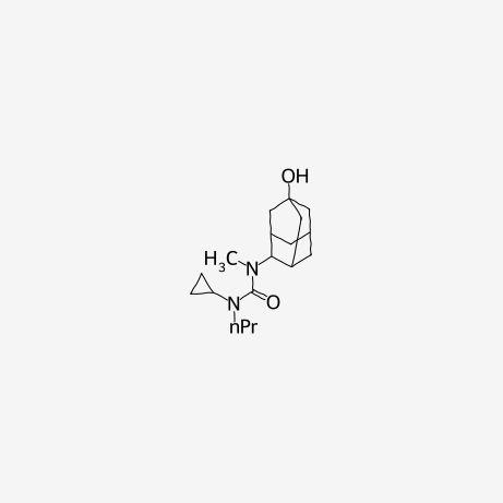 CCCN(C(=O)N(C)C1C2CC3CC1CC(O)(C3)C2)C1CC1